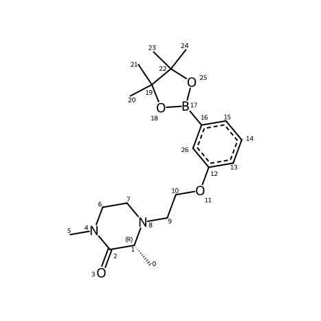 C[C@@H]1C(=O)N(C)CCN1CCOc1cccc(B2OC(C)(C)C(C)(C)O2)c1